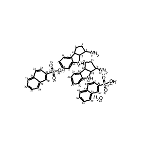 NC1CCC2c3ccccc3NC12.NC1CCC2c3ccccc3NC12.O.O=S(=O)(O)c1ccc2ccccc2c1.O=S(=O)(O)c1ccc2ccccc2c1